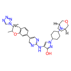 CC(Cn1cnnn1)Oc1cc(-c2cnc(Nc3cn(C4CCC(N5[C@@H]6CC[C@H]5COC6)CC4)nc3O)nc2)ccc1C#N